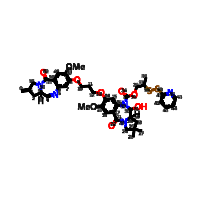 C=C1C[C@H]2C=Nc3cc(OCCCOc4cc5c(cc4OC)C(=O)N4CC(C)(C)C[C@H]4C(O)N5C(=O)OCC(C)SSc4ccccn4)c(OC)cc3C(=O)N2C1